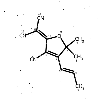 [C-]#[N+]C1=C(/C=C/C)C(C)(C)O/C1=C(\C#N)[N+]#[C-]